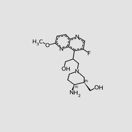 COc1ccc2ncc(F)c(C(CO)CN3CC[C@H](N)[C@H](CO)C3)c2n1